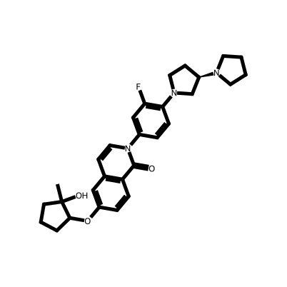 CC1(O)CCCC1Oc1ccc2c(=O)n(-c3ccc(N4CC[C@@H](N5CCCC5)C4)c(F)c3)ccc2c1